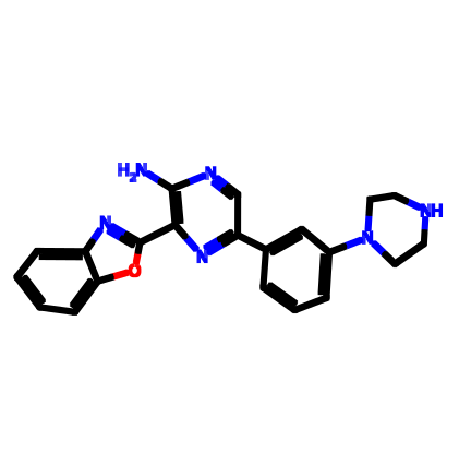 Nc1ncc(-c2cccc(N3CCNCC3)c2)nc1-c1nc2ccccc2o1